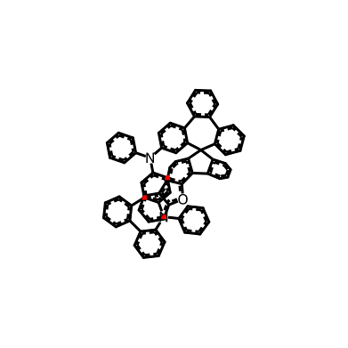 c1ccc(N(c2ccc3c(c2)-c2ccccc2-c2ccccc2N3c2ccccc2)c2ccc3c(c2)C2(c4ccccc4-c4ccccc4-3)c3ccccc3-c3c2ccc2c3oc3ccccc32)cc1